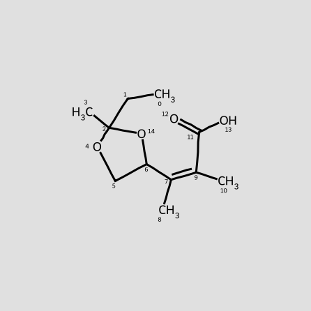 CCC1(C)OCC(C(C)=C(C)C(=O)O)O1